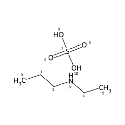 CCCNCC.O=S(=O)(O)O